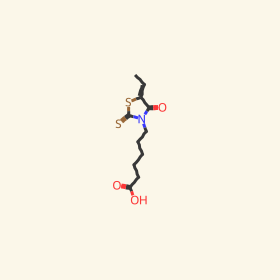 CC=C1SC(=S)N(CCCCCC(=O)O)C1=O